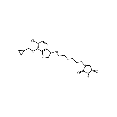 O=C1CN(CCCCCCN[C@@H]2COc3c2ccc(Cl)c3OCC2CC2)C(=O)N1